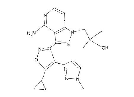 Cn1ccc(-c2c(-c3nn(CC(C)(C)O)c4ccnc(N)c34)noc2C2CC2)n1